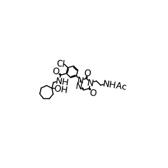 CC(=O)NCCn1c(=O)cnn(-c2ccc(Cl)c(C(=O)NCC3(O)CCCCCC3)c2)c1=O